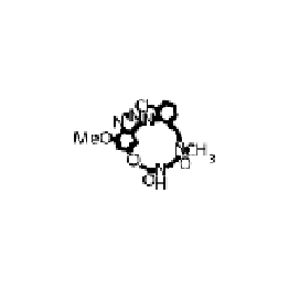 COc1cc2cc3c(ncnc13)/N=C1/C(Cl)=CCC/C1=C/CN(C)C(=O)CNC(=O)CO2